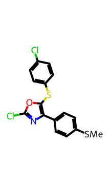 CSc1ccc(-c2nc(Cl)oc2Sc2ccc(Cl)cc2)cc1